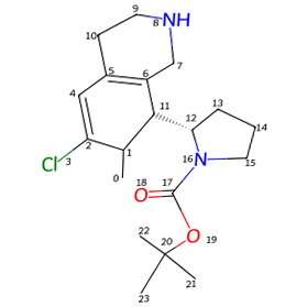 CC1C(Cl)=CC2=C(CNCC2)C1[C@@H]1CCCN1C(=O)OC(C)(C)C